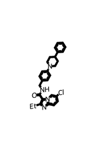 CCc1nc2ccc(Cl)cn2c1C(=O)NCc1ccc(N2CCC(c3ccccc3)CC2)cc1